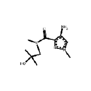 CN(CC(C)(C)O)C(=O)c1nn(C)cc1N